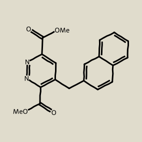 COC(=O)c1cc(Cc2ccc3ccccc3c2)c(C(=O)OC)nn1